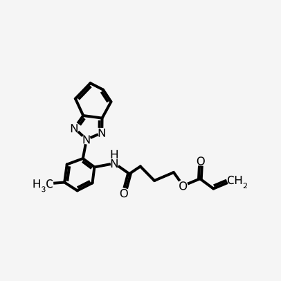 C=CC(=O)OCCCC(=O)Nc1ccc(C)cc1-n1nc2ccccc2n1